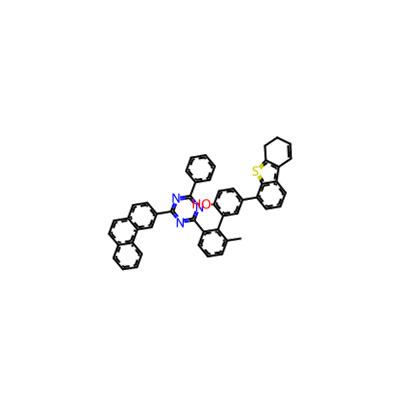 Cc1cccc(-c2nc(-c3ccccc3)nc(-c3ccc4ccc5ccccc5c4c3)n2)c1-c1cc(-c2cccc3c4c(sc23)CCC=C4)ccc1O